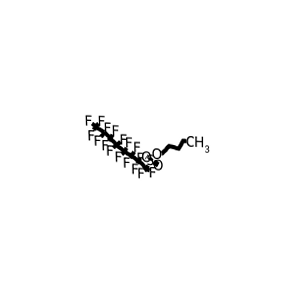 CCCCCOS(=O)(=O)C(F)(F)C(F)(F)C(F)(F)C(F)(F)C(F)(F)C(F)(F)C(F)(F)C(F)(F)F